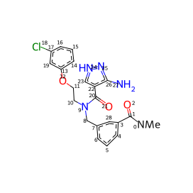 CNC(=O)c1cccc(CN(CCOc2cccc(Cl)c2)C(=O)c2c[nH]nc2N)c1